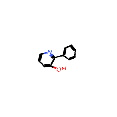 Oc1cccnc1-c1[c]cccc1